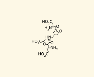 N[C@@H](CCC(=O)O)C(=O)C(=O)[C@H](CCC(=O)O)NCC1CC(=O)N(C(=O)[C@@H](N)CC(=O)O)C1